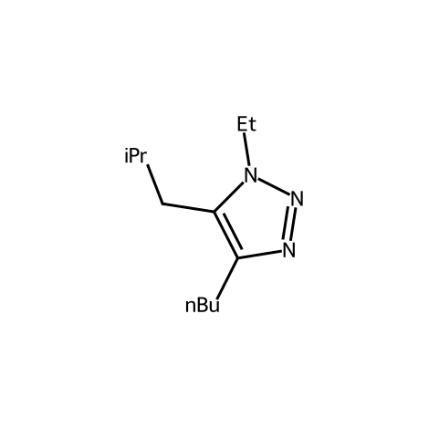 CCCCc1nnn(CC)c1CC(C)C